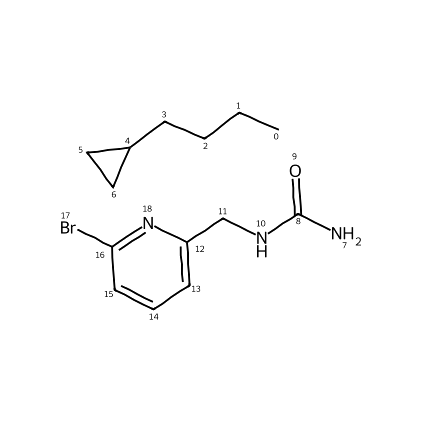 CCCCC1CC1.NC(=O)NCc1cccc(Br)n1